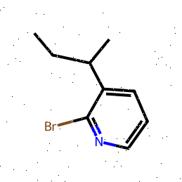 CCC(C)c1cccnc1Br